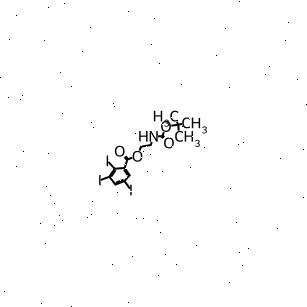 CC(C)(C)OC(=O)NCCOC(=O)c1cc(I)cc(I)c1I